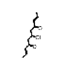 CC=CC(=O)CC(O)CC(=O)C=CC